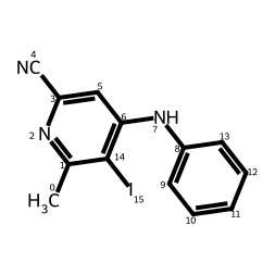 Cc1nc(C#N)cc(Nc2ccccc2)c1I